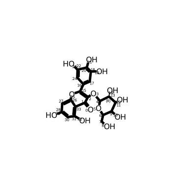 O=c1c(OC2OC(CO)C(O)C(O)[C@H]2O)c(-c2cc(O)c(O)c(O)c2)oc2cc(O)cc(O)c12